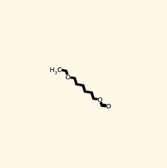 CCOCCCCCCOC=O